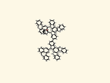 c1ccc(-n2c3cc(-c4ccc5c(c4)c4c6oc7ccccc7c6c6c7ccccc7sc6c4n5-c4nc5c6c(cccc6n4)Sc4ccccc4-5)ccc3c3c4oc5ccccc5c4c4c5ccccc5n(-c5nc6c7c(cccc7n5)Sc5ccccc5-6)c4c32)cc1